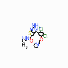 CCNC(=O)c1cc2c(-c3cc(OCCN4CCCC4)c(Cl)cc3Cl)nc(N)nc2s1